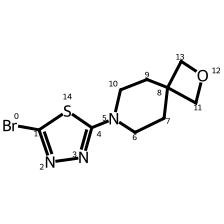 Brc1nnc(N2CCC3(CC2)COC3)s1